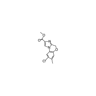 COC(=O)c1cn2c(n1)COc1cc(C)c(Cl)cc1-2